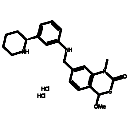 COC1SC(=O)N(C)c2cc(CNc3cccc([C@@H]4CCCCN4)c3)ccc21.Cl.Cl